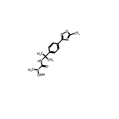 CON(C)C(=O)NC(C)(C)c1ccc(-c2noc(C(F)(F)F)n2)cc1